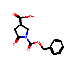 O=C(O)C1CC(=O)N(C(=O)OCc2ccccc2)C1